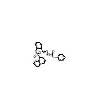 O=C(Cc1ccccc1)NN=Cc1ccccc1OS(=O)(=O)c1cccc2ccccc12